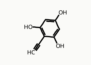 C#Cc1c(O)cc(O)cc1O